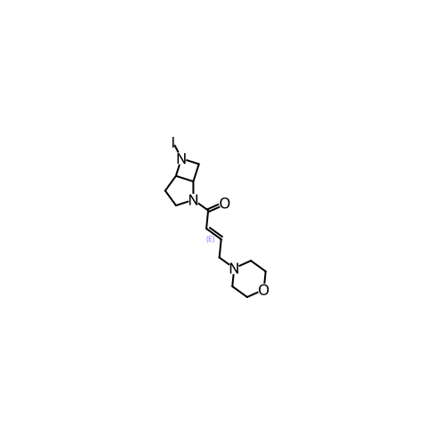 O=C(/C=C/CN1CCOCC1)N1CCC2C1CN2I